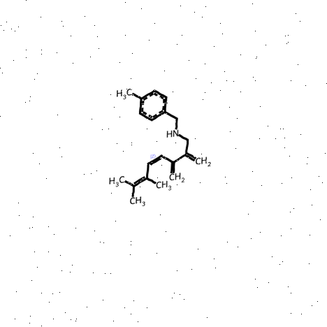 C=C(/C=C\C(C)=C(C)C)C(=C)CNCc1ccc(C)cc1